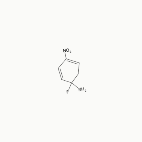 NC1(F)C=CC([N+](=O)[O-])=CC1